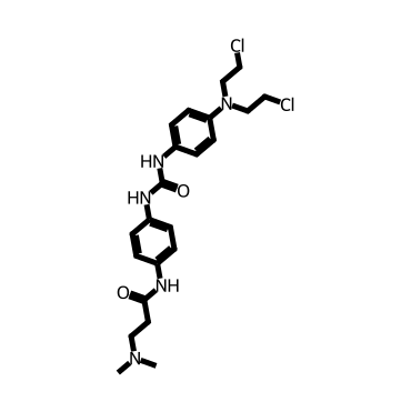 CN(C)CCC(=O)Nc1ccc(NC(=O)Nc2ccc(N(CCCl)CCCl)cc2)cc1